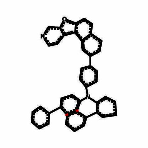 c1ccc(-c2ccc(N(c3ccc(-c4ccc5ccc6oc7cnccc7c6c5c4)cc3)c3ccccc3-c3ccccc3)cc2)cc1